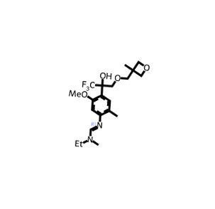 CCN(C)/C=N/c1cc(OC)c(C(O)(COCC2(C)COC2)C(F)(F)F)cc1C